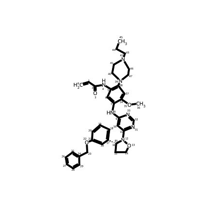 C=CC(=O)Nc1cc(Nc2cc(N3OCC[C@@H]3c3cccc(OCc4ccccc4)c3)ncn2)c(OC)cc1N1CCN(CCC)CC1